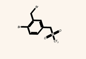 O=S(=O)(Cc1ccc(Br)c(CBr)c1)C(F)(F)F